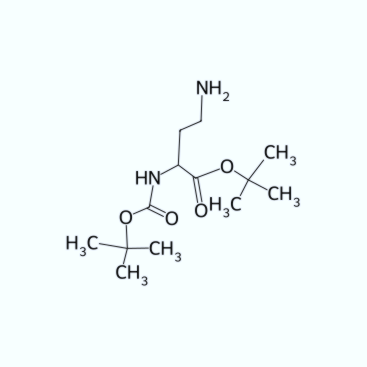 CC(C)(C)OC(=O)NC(CCN)C(=O)OC(C)(C)C